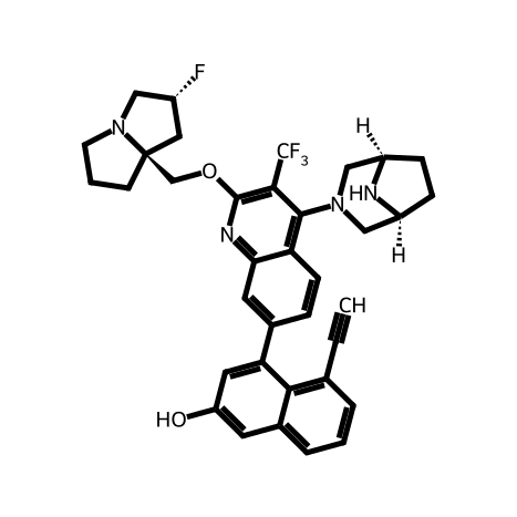 C#Cc1cccc2cc(O)cc(-c3ccc4c(N5C[C@H]6CC[C@@H](C5)N6)c(C(F)(F)F)c(OC[C@@]56CCCN5C[C@H](F)C6)nc4c3)c12